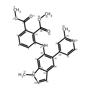 COC(=O)c1cccc(Nc2cc3c(cnn3C)cc2-c2ccnc(C)c2)c1C(=O)OC